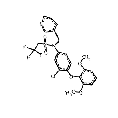 COc1cccc(OC)c1Oc1ccc(N(Cc2cccnc2)S(=O)(=O)CC(F)(F)F)cc1Cl